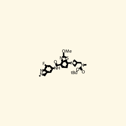 COc1nc2c(C(=O)Nc3cc(F)c4nn(C)cc4c3)ccc(N3CC(CN(C)C(=O)OC(C)(C)C)C3)c2s1